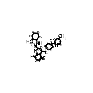 Cc1ccnc(C2(C#N)CCN(Cc3cc(C(=O)N[C@H]4CCCC[C@@H]4O)nc4c(F)ccc(F)c34)CC2)c1